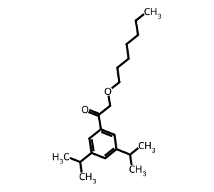 CCCCCCCOCC(=O)c1cc(C(C)C)cc(C(C)C)c1